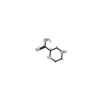 NC(=[Se])C1CNCCO1